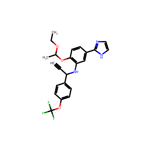 C#CC(Nc1cc(-c2ncc[nH]2)ccc1OC(C)OCC)c1ccc(OC(F)(F)F)cc1